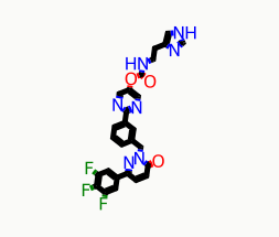 O=C(NCCc1c[nH]cn1)Oc1cnc(-c2cccc(Cn3nc(-c4cc(F)c(F)c(F)c4)ccc3=O)c2)nc1